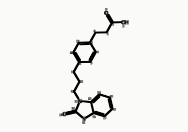 O=C(O)CCc1ccc(CCCn2c(=O)sc3ccccc32)cc1